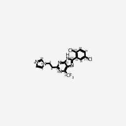 FC(F)(F)c1nc(CCn2ccnc2)nc2[nH]c(-c3cc(Cl)ccc3Cl)nc12